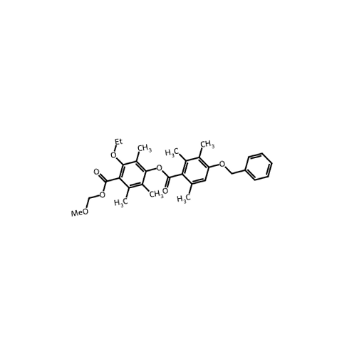 CCOc1c(C)c(OC(=O)c2c(C)cc(OCc3ccccc3)c(C)c2C)c(C)c(C)c1C(=O)OCOC